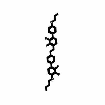 CCCCOc1ccc(-c2ccc(CCc3ccc(-c4ccc(OCCC)cc4)c(F)c3F)cc2)c(F)c1F